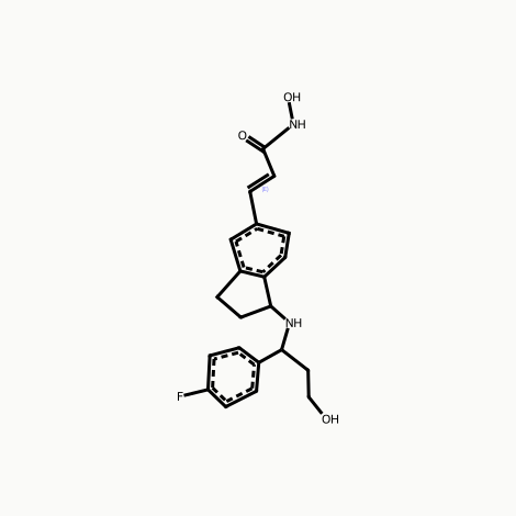 O=C(/C=C/c1ccc2c(c1)CCC2NC(CCO)c1ccc(F)cc1)NO